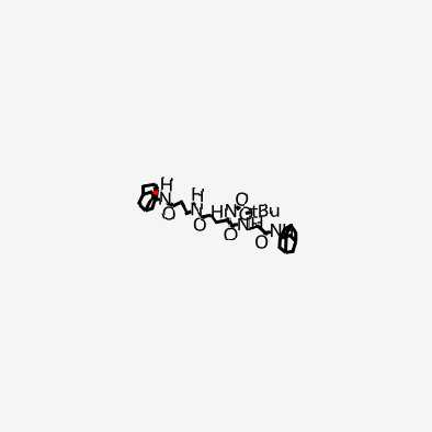 CC(C)(C)OC(=O)NC(CCC(=O)NCCC(=O)NC12CC3CC(CC(C3)C1)C2)C(=O)NCCC(=O)NC12CC3CC(CC(C3)C1)C2